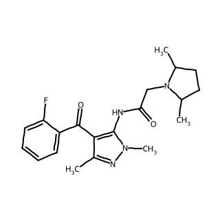 Cc1nn(C)c(NC(=O)CN2C(C)CCC2C)c1C(=O)c1ccccc1F